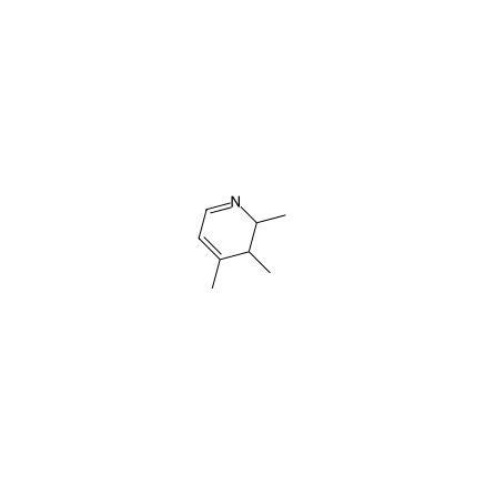 CC1=CC=NC(C)C1C